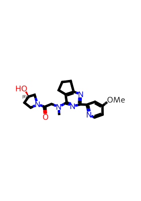 COc1ccnc(-c2nc3c(c(N(C)CC(=O)N4CC[C@@H](O)C4)n2)CCC3)c1